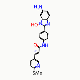 CSc1ccc(/C=C/C(=O)Nc2ccc(-c3nc4ccc(N)cc4n3O)cc2)cn1